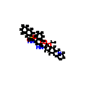 CCOC(=O)C(Cc1ccc(CN(CC)CC)cc1)NC(=O)CC(NS(=O)(=O)c1ccc2ccccc2c1)c1ccccc1